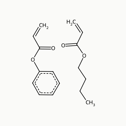 C=CC(=O)OCCCC.C=CC(=O)Oc1ccccc1